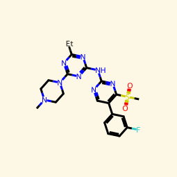 CCc1nc(Nc2ncc(-c3cccc(F)c3)c(S(C)(=O)=O)n2)nc(N2CCN(C)CC2)n1